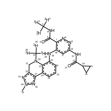 [2H]C([2H])([2H])NC(=O)c1nnc(NC(=O)C2CC2)cc1Nc1cccc2c1N(C([2H])([2H])[2H])Cc1nn(C)nc1-2